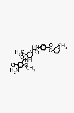 COc1cc(N)c(Cl)cc1C(=O)N[C@@H]1CCN(CC(=O)Nc2ccc(C(=O)OC3CCCN(C)C3)cc2)C[C@@H]1OC